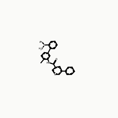 BN(c1ccccc1-c1ccc(C)c(NC(=O)c2cncc(-c3ccccc3)c2)c1)C(C)C